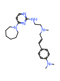 CN(CC=Cc1ccc(N(C)C)cc1)CCNc1nccc(N2CCCCCC2)n1